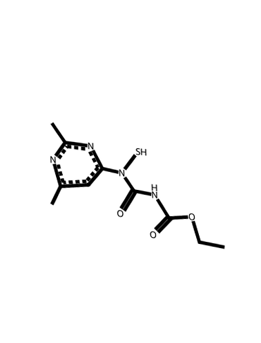 CCOC(=O)NC(=O)N(S)c1cc(C)nc(C)n1